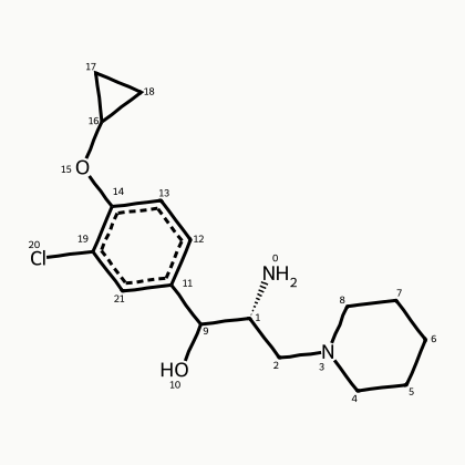 N[C@H](CN1CCCCC1)C(O)c1ccc(OC2CC2)c(Cl)c1